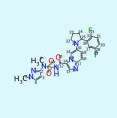 CN(c1ccn(C)n1)S(=O)(=O)NC(=O)c1cnc2ccc(N3CCCC3c3cc(F)ccc3F)cn12